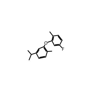 Cc1ccc(F)cc1Oc1cc(C(C)C)ccc1C